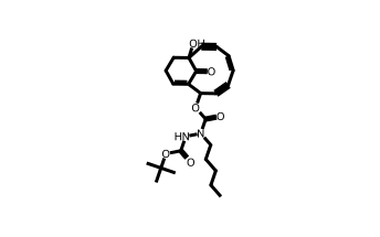 CCCCCN(NC(=O)OC(C)(C)C)C(=O)OC1C#CC=CC#CC2(O)CCC=C1C2=O